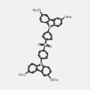 COc1ccc2c(c1)c1cc(OC)ccc1n2-c1ccc(S(=O)(=O)c2ccc(-n3c4ccc(OC)cc4c4cc(OC)ccc43)cc2)cc1